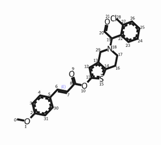 COc1ccc(/C=C/C(=O)Oc2cc3c(s2)CCN(C(C=O)c2ccccc2Cl)C3)cc1